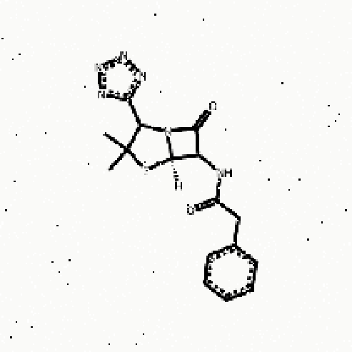 CC1(C)S[C@@H]2C(NC(=O)Cc3ccccc3)C(=O)N2C1c1nnn[nH]1